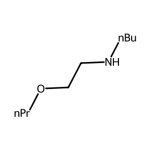 [CH2]CCOCCNCCCC